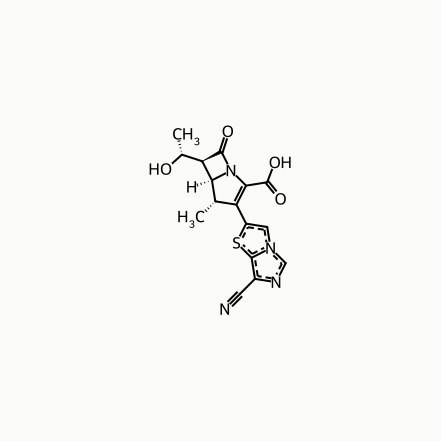 C[C@@H](O)[C@H]1C(=O)N2C(C(=O)O)=C(c3cn4cnc(C#N)c4s3)[C@H](C)[C@@H]12